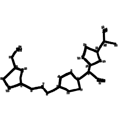 CSC(C1CCC(CSCC2SCC(CS)S2)CC1)C1SCC(C(C)S)S1